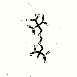 CC(COCOCC(C(O)O)([N+](=O)[O-])[N+](=O)[O-])([N+](=O)[O-])[N+](=O)[O-]